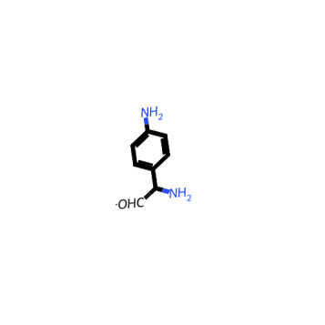 Nc1ccc(C(N)[C]=O)cc1